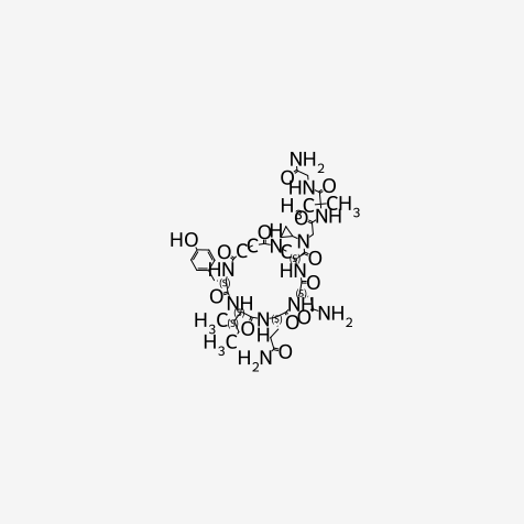 CC[C@H](C)[C@@H]1NC(=O)[C@H](Cc2ccc(O)cc2)NC(=O)CCC(=O)NC[C@@H](C(=O)N(CC(=O)NC(C)(C)C(=O)NCC(N)=O)C2CC2)NC(=O)[C@H](CC(N)=O)NC(=O)[C@H](CCC(N)=O)NC1=O